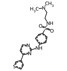 CN(C)CCNS(=O)(=O)c1ccc(Nc2nccc(-c3ccsc3)n2)cc1